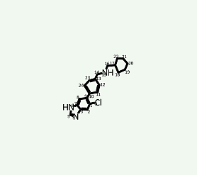 Clc1cc2nc[nH]c2cc1-c1ccc(CNCC2CCCCC2)cc1